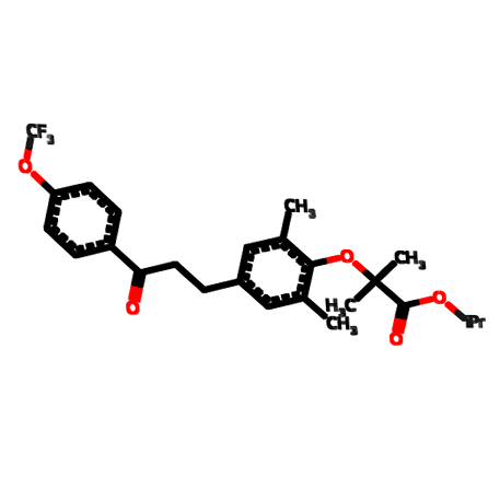 Cc1cc(CCC(=O)c2ccc(OC(F)(F)F)cc2)cc(C)c1OC(C)(C)C(=O)OC(C)C